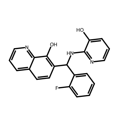 Oc1cccnc1NC(c1ccccc1F)c1ccc2cccnc2c1O